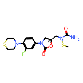 CSN(C[C@@H]1CN(c2ccc(N3CCSCC3)c(F)c2)C(=O)O1)C(N)=O